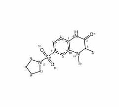 CC1C(=O)Nc2ccc(S(=O)(=O)N3CCCC3)cc2N1C